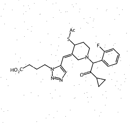 CC(=O)SC1CCN(C(C(=O)C2CC2)c2ccccc2F)CC1=Cc1cnnn1CCCC(=O)O